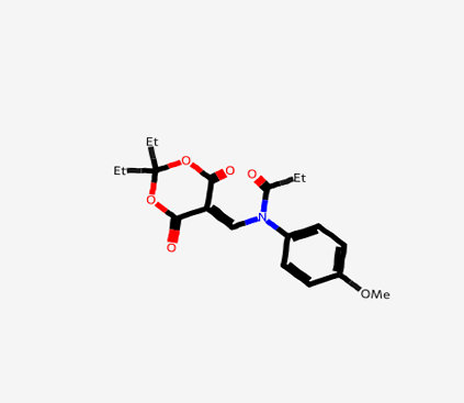 CCC(=O)N(C=C1C(=O)OC(CC)(CC)OC1=O)c1ccc(OC)cc1